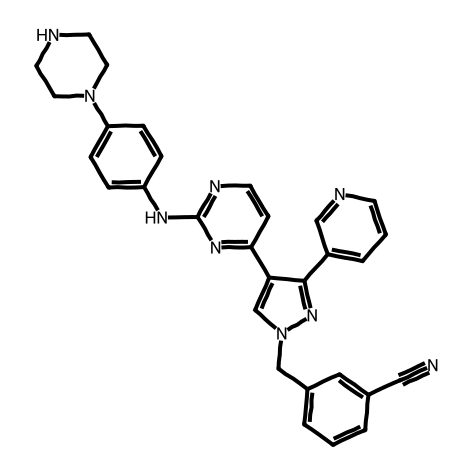 N#Cc1cccc(Cn2cc(-c3ccnc(Nc4ccc(N5CCNCC5)cc4)n3)c(-c3cccnc3)n2)c1